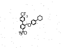 CN(C)C(=O)c1ccc(-c2ccc(C(F)(F)F)cc2)c(COc2c[c]c(C3CCCCC3)cc2)c1